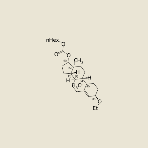 CCCCCCOC(=O)O[C@H]1CC[C@H]2[C@@H]3CCC4=C[C@H](OCC)CC[C@]4(C)[C@H]3CC[C@]12C